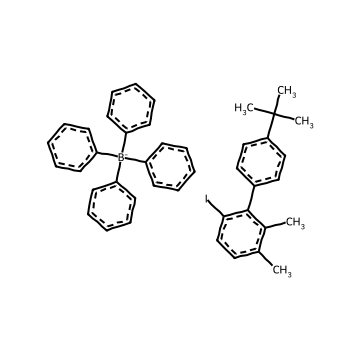 Cc1ccc(I)c(-c2ccc(C(C)(C)C)cc2)c1C.c1ccc([B-](c2ccccc2)(c2ccccc2)c2ccccc2)cc1